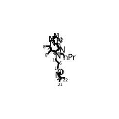 CCCc1nc2c(c(C)c(C)n3nnnc23)n1CCCON=C(C)C